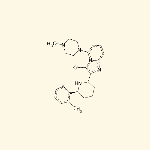 Cc1cccnc1[C@@H]1CCCC(c2nc3cccc(N4CCN(C)CC4)n3c2Cl)N1